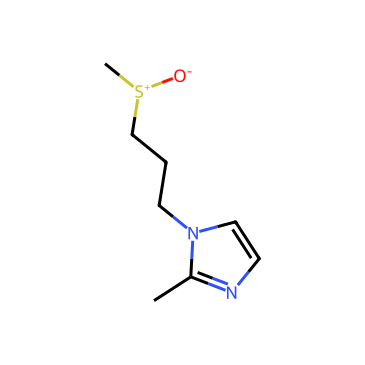 Cc1nccn1CCC[S+](C)[O-]